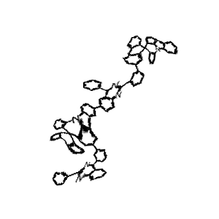 c1ccc(-c2nc(-c3cccc(-c4cc5c6c(c4)c4cc(-c7ccc8nc(-c9cccc(-c%10ccc%11c(c%10)C%10(c%12ccccc%12-%11)c%11ccccc%11-n%11c%12ccccc%12c%12cccc%10c%12%11)c9)nc(-c9ccccc9)c8c7)ccc4n6-c4ccccc4C54c5ccccc5-c5ccccc54)c3)c3ccccc3n2)cc1